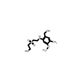 COc1cc(NCCS(=O)(=O)CCO)c(CO)cc1C